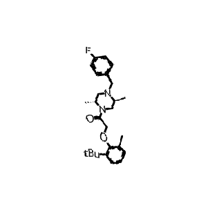 Cc1cccc(C(C)(C)C)c1OCC(=O)N1C[C@H](C)N(Cc2ccc(F)cc2)C[C@H]1C